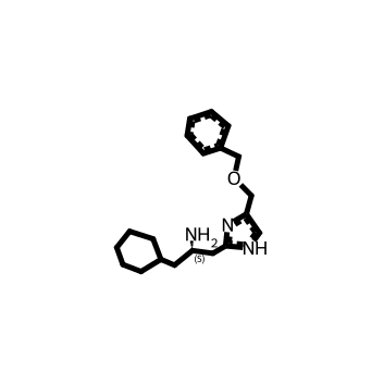 N[C@H](Cc1nc(COCc2ccccc2)c[nH]1)CC1CCCCC1